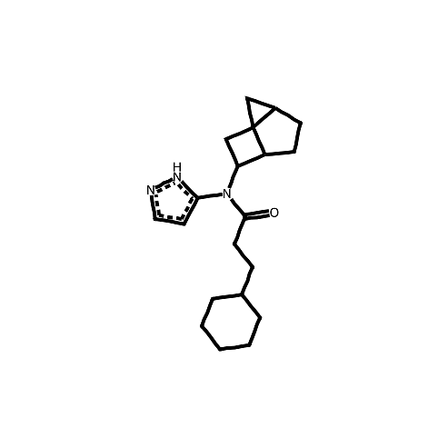 O=C(CCC1CCCCC1)N(c1ccn[nH]1)C1CC23CC2CCC13